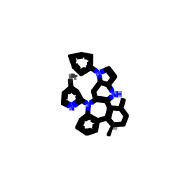 CC1CC[C@@H](C)C2=C1C1=C(CC3C(C=CN3c3ccccc3)N1)N(c1cc(C(C)C)ccn1)c1ccccc12